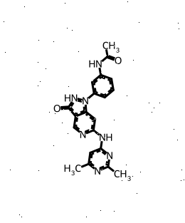 CC(=O)Nc1cccc(-n2[nH]c(=O)c3cnc(Nc4cc(C)nc(C)n4)cc32)c1